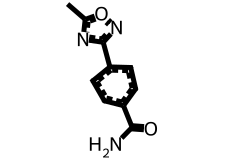 Cc1nc(-c2ccc(C(N)=O)cc2)no1